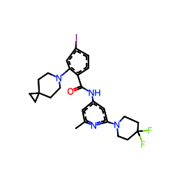 Cc1cc(NC(=O)c2ccc(I)cc2N2CCC3(CC2)CC3)cc(N2CCC(F)(F)CC2)n1